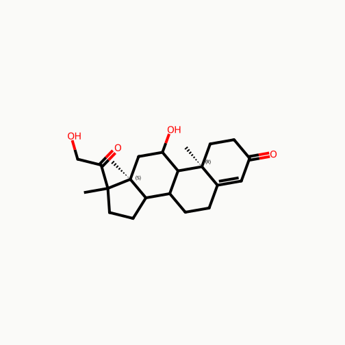 CC1(C(=O)CO)CCC2C3CCC4=CC(=O)CC[C@]4(C)C3C(O)C[C@@]21C